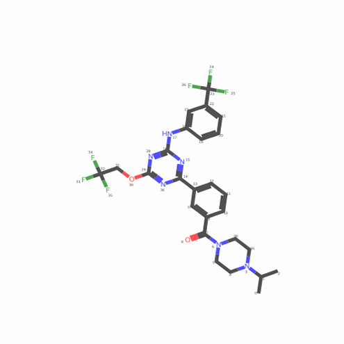 CC(C)N1CCN(C(=O)c2cccc(-c3nc(Nc4cccc(C(F)(F)F)c4)nc(OCC(F)(F)F)n3)c2)CC1